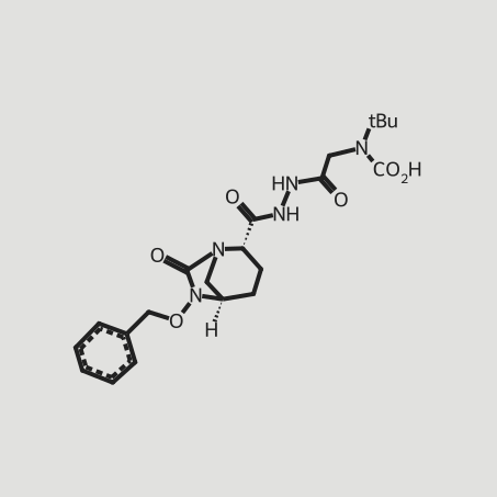 CC(C)(C)N(CC(=O)NNC(=O)[C@@H]1CC[C@@H]2CN1C(=O)N2OCc1ccccc1)C(=O)O